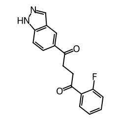 O=C(CCC(=O)c1ccccc1F)c1ccc2[nH]ncc2c1